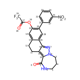 O=C1NCCCn2nc3c(c21)CCc1cc(OC(=O)C(F)(F)F)c(-c2cccc([N+](=O)[O-])c2)cc1-3